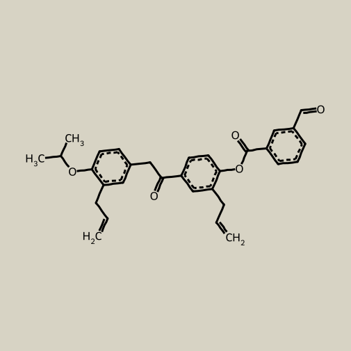 C=CCc1cc(C(=O)Cc2ccc(OC(C)C)c(CC=C)c2)ccc1OC(=O)c1cccc(C=O)c1